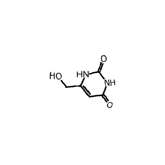 O=c1cc(CO)[nH]c(=O)[nH]1